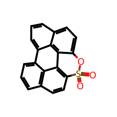 O=S1(=O)Oc2ccc3cccc4c5cccc6ccc1c(c2c34)c65